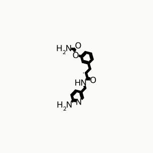 NC(=O)Oc1cccc(C[CH]C(=O)NCc2ccc(N)nc2)c1